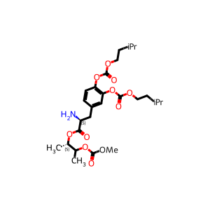 COC(=O)OC(C)[C@H](C)OC(=O)[C@@H](N)Cc1ccc(OC(=O)OCCC(C)C)c(OC(=O)OCCC(C)C)c1